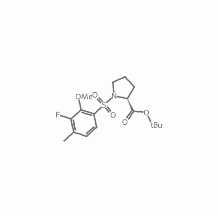 COc1c(S(=O)(=O)N2CCC[C@H]2C(=O)OC(C)(C)C)ccc(C)c1F